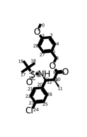 COc1ccc(COC(=O)[C@@H](C)[C@H](N[S+]([O-])C(C)(C)C)c2ccc(Cl)cc2)cc1